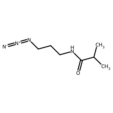 CC(C)C(=O)NCCCN=[N+]=[N-]